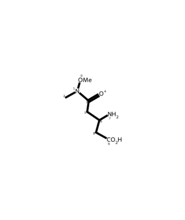 CON(C)C(=O)CC(N)CC(=O)O